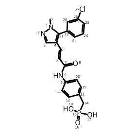 Cn1ncc(C=CC(=O)Nc2ccc(CP(=O)(O)O)cc2)c1-c1cccc(Cl)c1